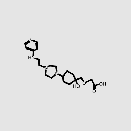 O=C(O)COCC1(O)CCC(N2CCN(CCNc3ccncc3)CC2)CC1